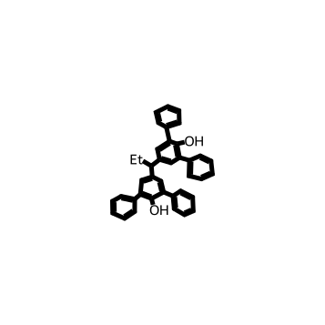 CCC(c1cc(-c2ccccc2)c(O)c(-c2ccccc2)c1)c1cc(-c2ccccc2)c(O)c(-c2ccccc2)c1